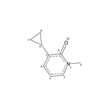 Cn1cccc(C2CC2)c1=O